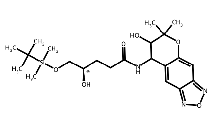 CC1(C)Oc2cc3nonc3cc2C(NC(=O)CC[C@@H](O)CO[Si](C)(C)C(C)(C)C)C1O